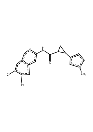 CC(C)c1cc2cc(NC(=O)C3CC3c3cnn(C)c3)ncc2cc1Cl